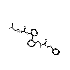 CC(C)CCNC(=O)Oc1ccccc1-c1ccccc1CNC(=O)OCc1ccccc1